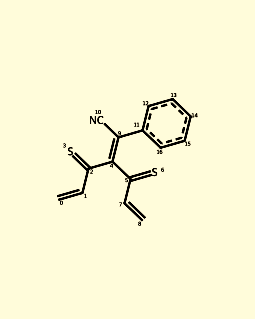 C=CC(=S)C(C(=S)C=C)=C(C#N)c1ccccc1